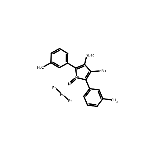 CCCCCCCCCCC1=C(c2cccc(C)c2)[N+](=[N-])C(c2cccc(C)c2)=C1CCCC.C[CH2][Pd][CH2]C